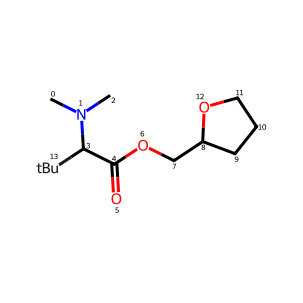 CN(C)C(C(=O)OCC1CCCO1)C(C)(C)C